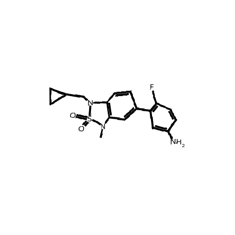 CN1c2cc(-c3cc(N)ccc3F)ccc2N(CC2CC2)S1(=O)=O